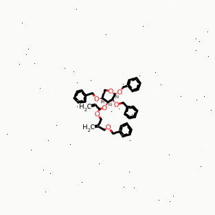 C=CC(OCC(=C)COCc1ccccc1)O[C@@H]1[C@@H](OCc2ccccc2)[C@@H](OCc2ccccc2)OC[C@H]1OCc1ccccc1